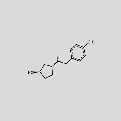 Cc1ccc(CN[C@H]2CC[C@@H](C#N)C2)cc1